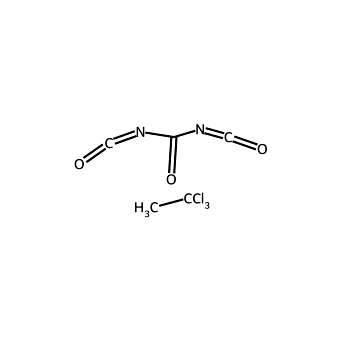 CC(Cl)(Cl)Cl.O=C=NC(=O)N=C=O